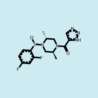 C[C@@H]1CN(C(=O)c2cnn[nH]2)[C@@H](C)CN1[S+]([O-])c1ccc(F)cc1F